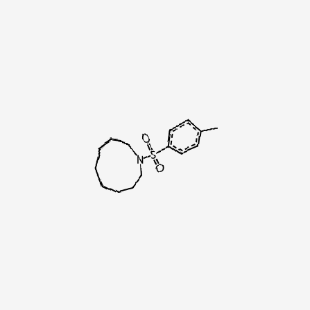 Cc1ccc(S(=O)(=O)N2CCCCCCCC2)cc1